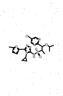 Cc1ccc(-c2nnc(NS(=O)(=O)C(C)C(OC(C)C)c3ncc(Cl)cn3)n2C2CC2)o1